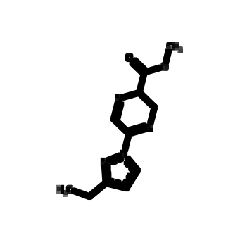 CCc1ccn(C2=NCC(C(=O)OC)N=C2)n1